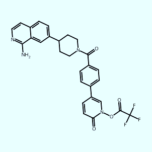 Nc1nccc2ccc(C3CCN(C(=O)c4ccc(-c5ccc(=O)n(OC(=O)C(F)(F)F)c5)cc4)CC3)cc12